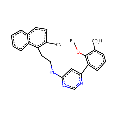 CCOc1c(C(=O)O)cccc1-c1cc(NCCc2c(C#N)ccc3ccccc23)ncn1